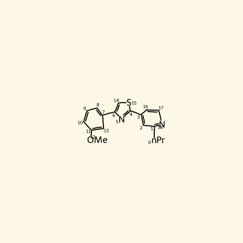 CCCc1cc(-c2nc(-c3cccc(OC)c3)cs2)ccn1